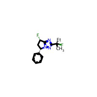 CC[C@](C)(F)c1nc2n(n1)[C@H](c1ccccc1)C[C@@H]2F